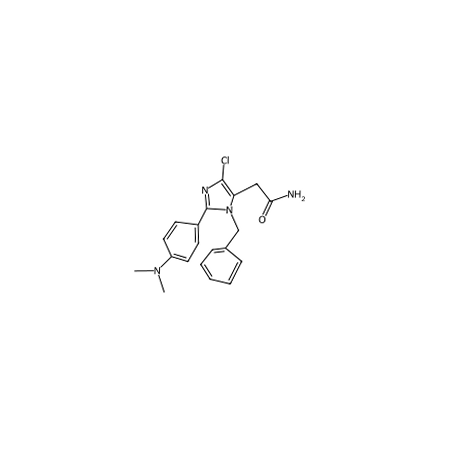 CN(C)c1ccc(-c2nc(Cl)c(CC(N)=O)n2Cc2ccccc2)cc1